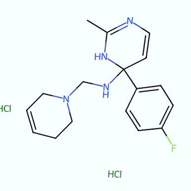 CC1=NC=CC(NCN2CC=CCC2)(c2ccc(F)cc2)N1.Cl.Cl